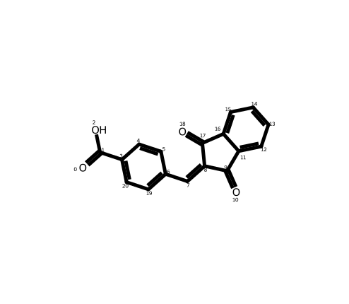 O=C(O)c1ccc(C=C2C(=O)c3ccccc3C2=O)cc1